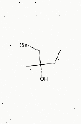 CCC(C)(O)[CH2][Sn]